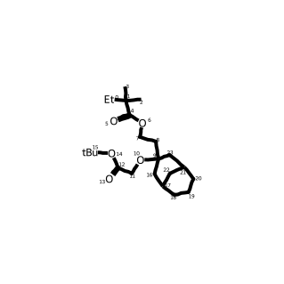 CCC(C)(C)C(=O)OCCC1(OCC(=O)OC(C)(C)C)CC2CCCC(C2)C1